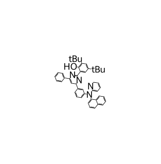 CC(C)(C)c1cc(-c2nc(-c3ccccc3)cc(-c3cccc(N(c4ccccn4)c4cccc5ccccc45)c3)n2)c(O)c(C(C)(C)C)c1